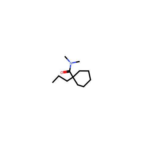 CCCC1(C(=O)N(C)C)CCCCC1